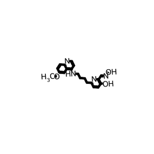 COc1ccc2nccc(NCCCCc3ccc(O)c(/C=N/O)n3)c2c1